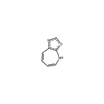 C1=CNc2ocnc2C=C1